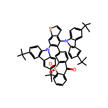 CC(C)(C)c1ccc2c(c1)c1cc(C(C)(C)C)ccc1n2-c1cc2sccc2c(-n2c3ccc(C(C)(C)C)cc3c3cc(C(C)(C)C)ccc32)c1-c1ccc2c(c1)S(=O)(=O)c1ccccc1C2=O